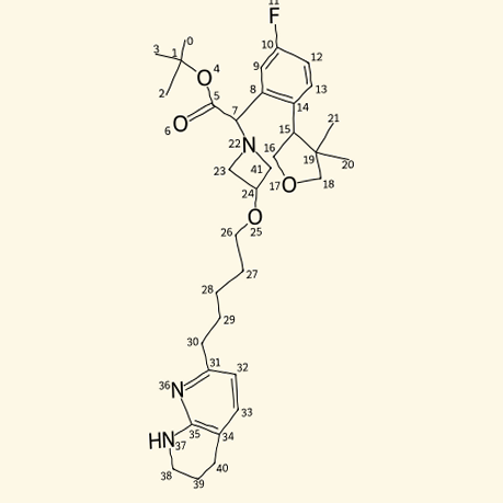 CC(C)(C)OC(=O)C(c1cc(F)ccc1C1COCC1(C)C)N1CC(OCCCCCc2ccc3c(n2)NCCC3)C1